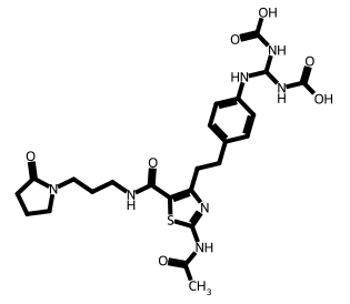 CC(=O)Nc1nc(CCc2ccc(NC(NC(=O)O)NC(=O)O)cc2)c(C(=O)NCCCN2CCCC2=O)s1